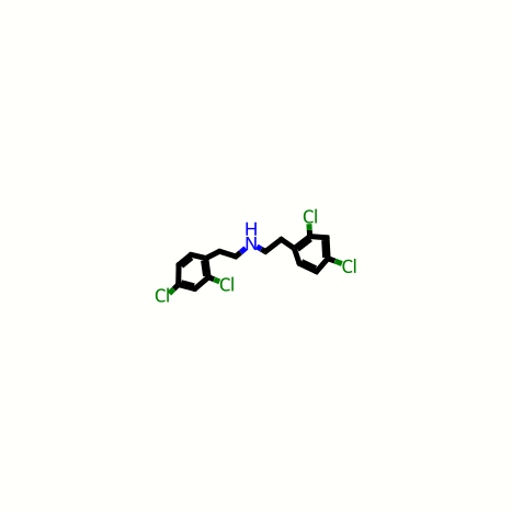 Clc1ccc(CCNCCc2ccc(Cl)cc2Cl)c(Cl)c1